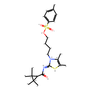 Cc1ccc(S(=O)(=O)OCCCCn2c(C)c(C)s/c2=N\C(=O)C2C(C)(C)C2(C)C)cc1